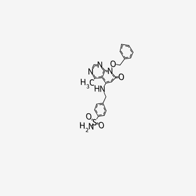 Cc1ncnc2c1c(NCc1ccc(S(N)(=O)=O)cc1)cc(=O)n2OCc1ccccc1